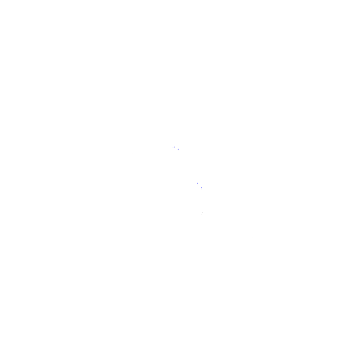 CC(C)(C)OC(=O)NC1=NC2(CCOc3ccc(Br)cc32)CCS1